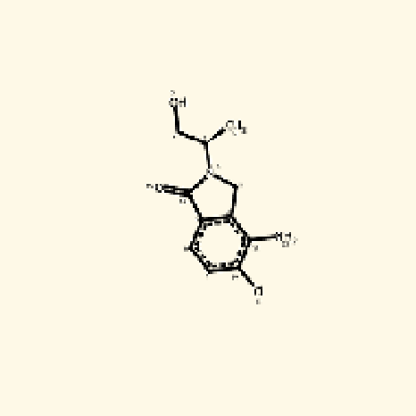 C[C@H](CO)N1Cc2c(ccc(Cl)c2N)C1=O